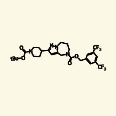 CC(C)(C)OC(=O)N1CCC(c2cc3n(n2)CCCN(C(=O)OCc2cc(C(F)(F)F)cc(C(F)(F)F)c2)C3)CC1